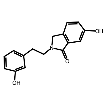 O=C1c2cc(O)ccc2CN1CCc1cccc(O)c1